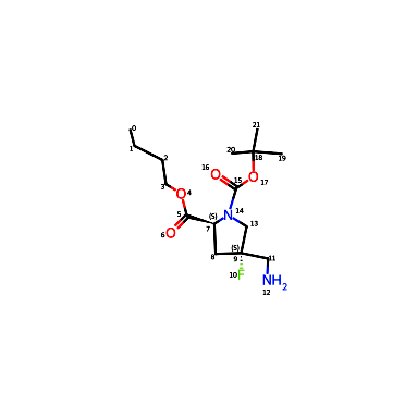 CCCCOC(=O)[C@@H]1C[C@](F)(CN)CN1C(=O)OC(C)(C)C